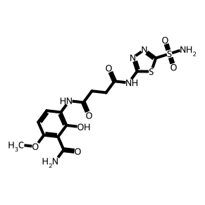 COc1ccc(NC(=O)CCC(=O)Nc2nnc(S(N)(=O)=O)s2)c(O)c1C(N)=O